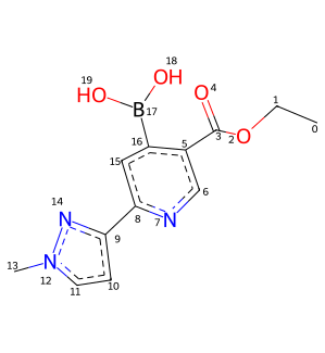 CCOC(=O)c1cnc(-c2ccn(C)n2)cc1B(O)O